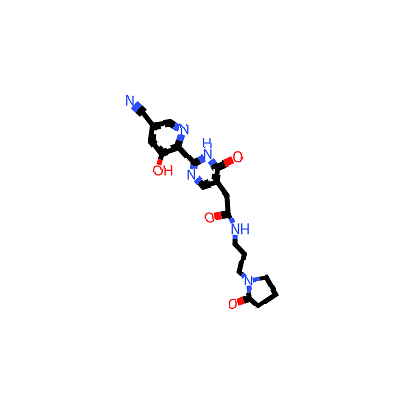 N#Cc1cnc(-c2ncc(CC(=O)NCCCN3CCCC3=O)c(=O)[nH]2)c(O)c1